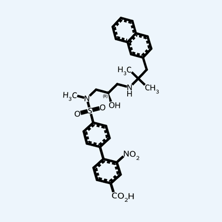 CN(C[C@H](O)CNC(C)(C)Cc1ccc2ccccc2c1)S(=O)(=O)c1ccc(-c2ccc(C(=O)O)cc2[N+](=O)[O-])cc1